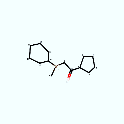 C[S+](CC(=O)C1CCCC1)C1CCCCC1